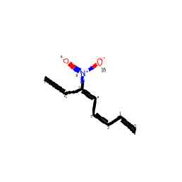 C=C/C=C\C=C(/C=C)[N+](=O)[O-]